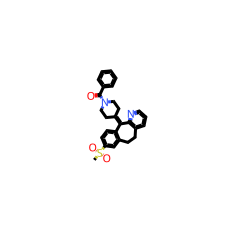 CS(=O)(=O)c1ccc2c(c1)CCc1cccnc1C2=C1CCN(C(=O)c2ccccc2)CC1